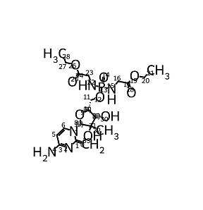 C=C1N=C(N)C=CN1[C@@H]1O[C@H](COP(=O)(NCC(=O)OCC)NCC(=O)OCC)[C@H](O)C1(C)O